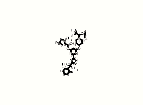 C=C(F)C(=O)N1CC[C@H](Oc2cc(O[C@@H](C)[C@@H]3C[C@H](F)CN3C)nc(-c3noc(C(C)(C)c4ccccc4F)n3)n2)C[C@H]1CC#N